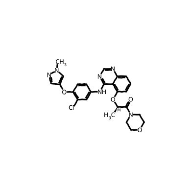 C[C@@H](Oc1cccc2ncnc(Nc3ccc(Oc4cnn(C)c4)c(Cl)c3)c12)C(=O)N1CCOCC1